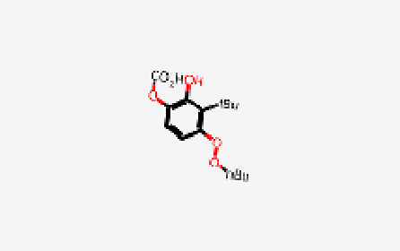 CCCCOOc1ccc(OC(=O)O)c(O)c1C(C)(C)C